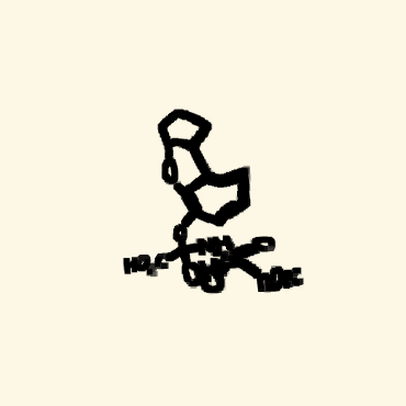 CCCCCCCCCCS(=O)(=O)NC(O)(Oc1cccc2c1OC1CCCC21)C(=O)O